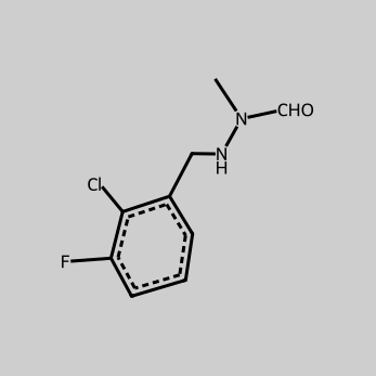 CN(C=O)NCc1cccc(F)c1Cl